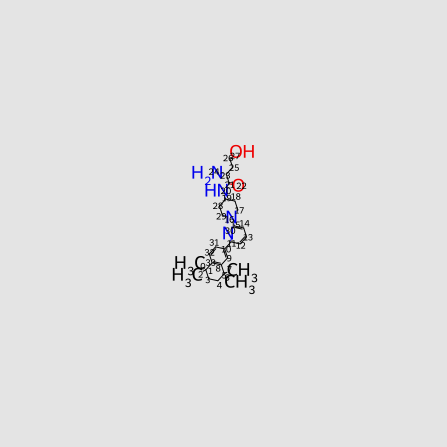 CC1(C)CCC(C)(C)c2cc(-c3cccc(N4CCC(NC(=O)[C@H](N)CCO)CC4)n3)ccc21